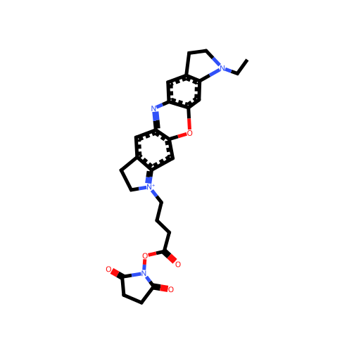 CCN1CCc2cc3c(cc21)Oc1cc2c(cc1=N3)CC[N+]=2CCCC(=O)ON1C(=O)CCC1=O